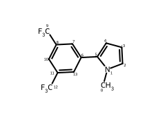 Cn1c[c]cc1-c1cc(C(F)(F)F)cc(C(F)(F)F)c1